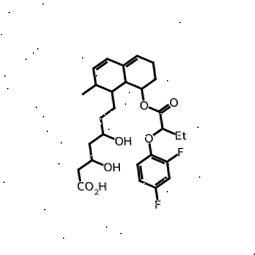 CCC(Oc1ccc(F)cc1F)C(=O)OC1CCC=C2C=CC(C)C(CCC(O)CC(O)CC(=O)O)C21